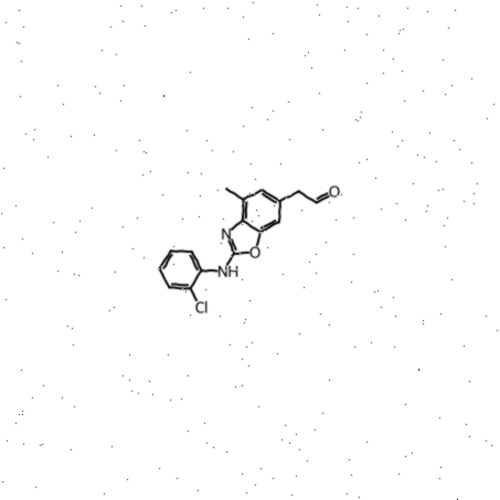 Cc1cc(CC=O)cc2oc(Nc3ccccc3Cl)nc12